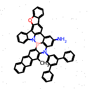 Cc1c2c(cc3cc4ccccc4cc13)B1c3c(cc(N)cc3N2c2cc(-c3ccccc3)cc(-c3ccccc3)c2)-c2cc3c4ccccc4oc3c3c4ccccc4n1c23